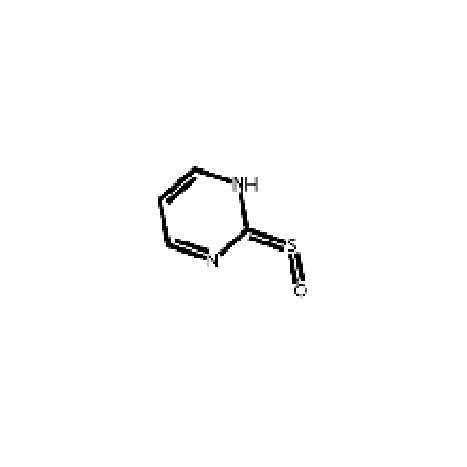 O=S=c1nccc[nH]1